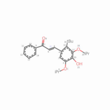 CC(C)Oc1cc(/C=C/C(=O)c2ccccc2)c(C(C)(C)C)c(OC(C)C)c1O